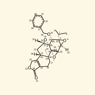 CC(C)[C@]12O[C@H]1[C@@H]1O[C@]13[C@]1(O[C@H]1C[C@H]1C4=C(CC[C@@]13C)C(=O)OC4)[C@@H]2OCc1ccccc1